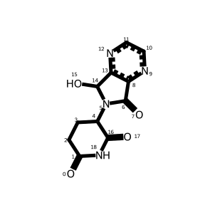 O=C1CCC(N2C(=O)c3nccnc3C2O)C(=O)N1